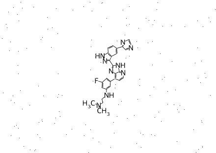 CN(C)CCNc1cc(F)cc(-c2ccnc3[nH]c(-c4n[nH]c5ccc(-c6cnccn6)cc45)nc23)c1